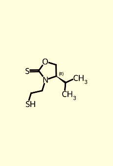 CC(C)[C@@H]1COC(=S)N1CCS